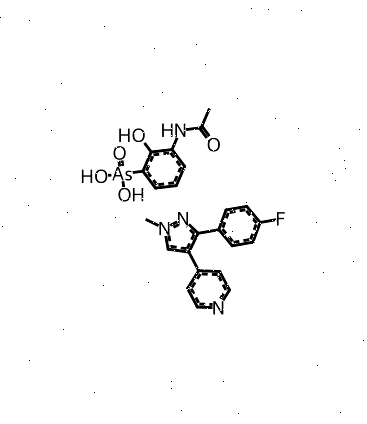 CC(=O)Nc1cccc([As](=O)(O)O)c1O.Cn1cc(-c2ccncc2)c(-c2ccc(F)cc2)n1